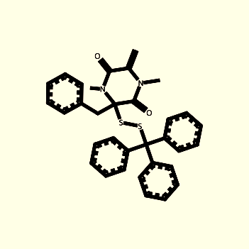 C=C1C(=O)N(C)C(Cc2ccccc2)(SSC(c2ccccc2)(c2ccccc2)c2ccccc2)C(=O)N1C